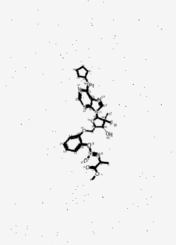 COC(=O)C(C)/N=[P+](\[O-])Oc1ccccc1OC[C@H]1OC(n2cnc3c(NC4CCCC4)ncnc32)[C@](C)(F)[C@@H]1O